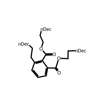 CCCCCCCCCCCCOC(=O)c1cccc(CCCCCCCCCCCC)c1C(=O)OCCCCCCCCCCCC